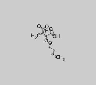 C=C(C(=O)O)C(OOCCCC)C(=O)O